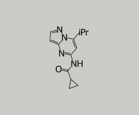 CC(C)c1cc(NC(=O)C2CC2)nc2ccnn12